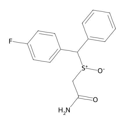 NC(=O)C[S+]([O-])C(c1ccccc1)c1ccc(F)cc1